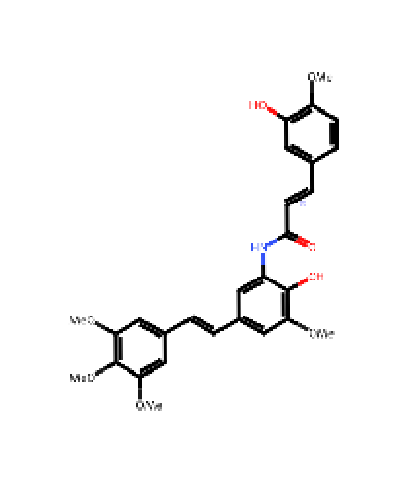 COc1ccc(/C=C/C(=O)Nc2cc(C=Cc3cc(OC)c(OC)c(OC)c3)cc(OC)c2O)cc1O